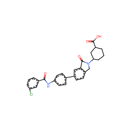 O=C(Nc1ccc(-c2ccc3c(c2)C(=O)N(C2CCCC(C(=O)O)C2)C3)cc1)c1cccc(Cl)c1